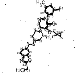 Cc1cc(F)cc(-n2ncc(N3CCN(SCc4ccc5nc(CO)oc5c4)CC3)c(OCC3(C)CC3)c2=O)c1